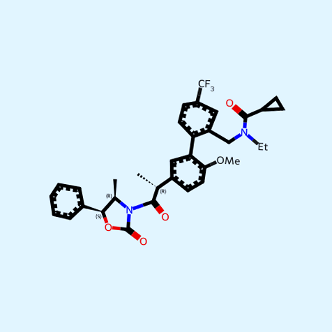 CCN(Cc1cc(C(F)(F)F)ccc1-c1cc([C@@H](C)C(=O)N2C(=O)O[C@@H](c3ccccc3)[C@H]2C)ccc1OC)C(=O)C1CC1